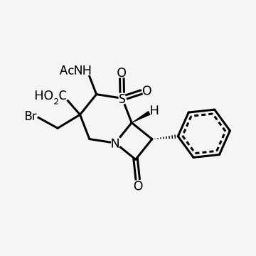 CC(=O)NC1C(CBr)(C(=O)O)CN2C(=O)[C@@H](c3ccccc3)[C@H]2S1(=O)=O